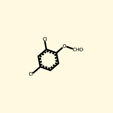 O=[C]Oc1ccc(Cl)cc1Cl